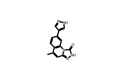 Cc1cc2n[nH]c(=O)n2c2cc(-c3cn[nH]c3)ccc12